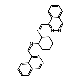 C(=N/C1CCCCC1/N=C\c1nncc2ccccc12)/c1nncc2ccccc12